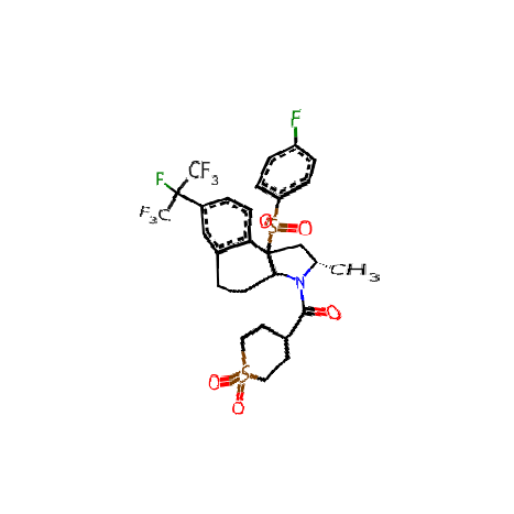 C[C@H]1CC2(S(=O)(=O)c3ccc(F)cc3)c3ccc(C(F)(C(F)(F)F)C(F)(F)F)cc3CCC2N1C(=O)C1CCS(=O)(=O)CC1